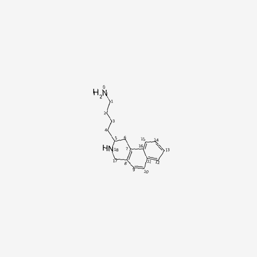 NCCCCC1Cc2c(ccc3ccccc23)CN1